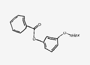 CCCCCCOc1cccc(OC(=O)c2ccccc2)c1